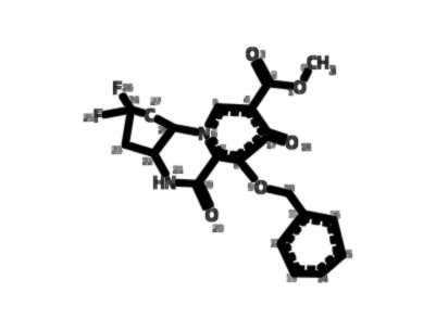 COC(=O)c1cn2c(c(OCc3ccccc3)c1=O)C(=O)NC1CC(F)(F)CC12